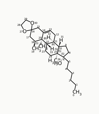 CCCCCC[C@]1(O)CC[C@H]2[C@@H]3CC=C4CC5(C[C@H](C)[C@]4(C)[C@H]3CC[C@@]21C)OCCO5